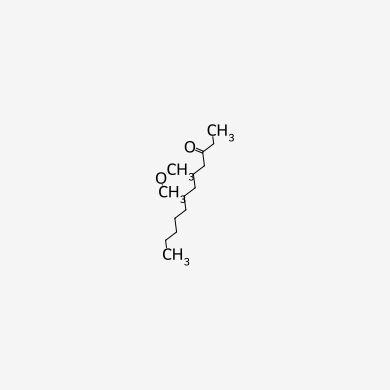 CCCCCCCCCC(=O)CC.COC